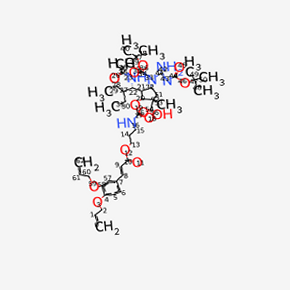 C=CCOc1ccc(/C=C/C(=O)OCCCNC(=O)OC2C([C@@H](NC(C)=O)C(CC)CC)C(N(C(=O)OC(C)(C)C)C(N)=NC(=O)OC(C)(C)C)CC2(C)C(=O)O)cc1OCC=C